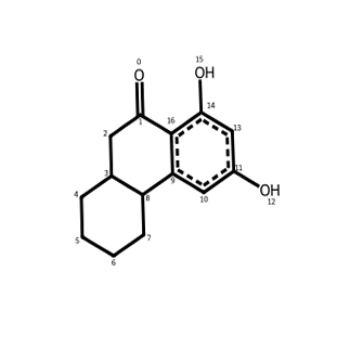 O=C1CC2CCCCC2c2cc(O)cc(O)c21